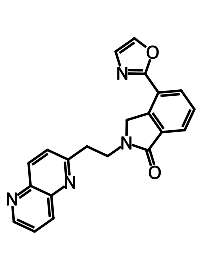 O=C1c2cccc(-c3ncco3)c2CN1CCc1ccc2ncccc2n1